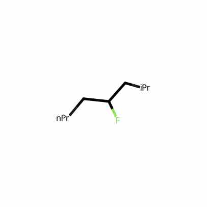 CCCCC(F)CC(C)C